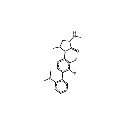 CNC1CC(C)N(c2ccc(-c3ccccc3P(C)C)c(F)c2F)C1=O